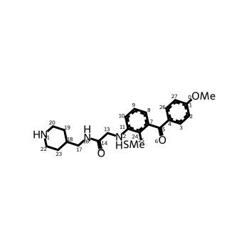 COc1ccc(C(=O)c2cccc(NCC(=O)NCC3CCNCC3)c2SC)cc1